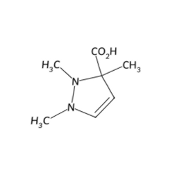 CN1C=CC(C)(C(=O)O)N1C